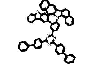 c1ccc(-c2ccc(-c3nc(-c4ccc(-c5ccccc5)cc4)nc(-c4ccc(-n5c6cc7ccccc7cc6c6ccc7ccccc7c65)c(-c5ccc6oc7ccccc7c6c5)c4)n3)cc2)cc1